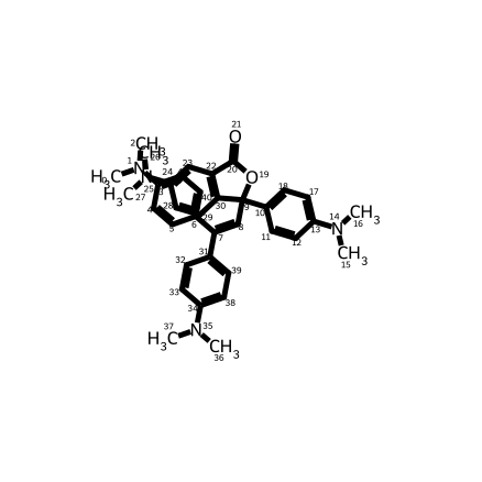 CN(C)c1ccc(C(=CC2(c3ccc(N(C)C)cc3)OC(=O)c3cc(N(C)C)ccc32)c2ccc(N(C)C)cc2)cc1